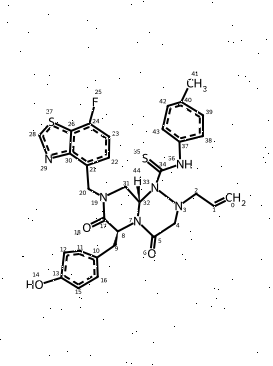 C=CCN1CC(=O)N2[C@@H](Cc3ccc(O)cc3)C(=O)N(Cc3ccc(F)c4scnc34)C[C@@H]2N1C(=S)Nc1ccc(C)cc1